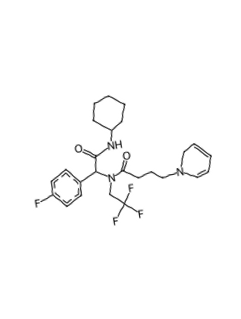 O=C(NC1CCCCC1)C(c1ccc(F)cc1)N(CC(F)(F)F)C(=O)CCCN1C=CC=CC1